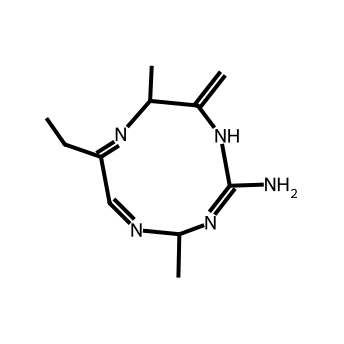 C=C1N/C(N)=N\C(C)/N=C\C(CC)=N/C1C